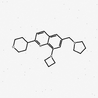 c1cc2cc(CN3CCCC3)cc(N3CCC3)c2nc1C1CCOCC1